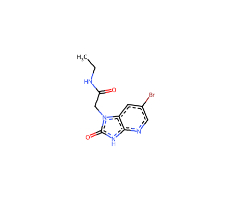 CCNC(=O)Cn1c(=O)[nH]c2ncc(Br)cc21